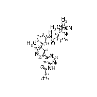 Cc1ccc(NC(=O)c2ccnc(C(C)(C)C#N)c2)cc1-c1cncc(-c2cc(NC(=O)C3CC3)ncn2)c1